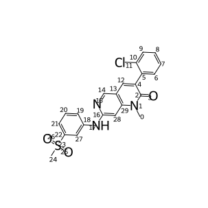 Cn1c(=O)c(-c2ccccc2Cl)cc2cnc(Nc3cccc(S(C)(=O)=O)c3)cc21